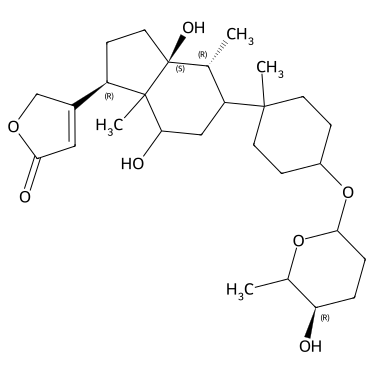 CC1OC(OC2CCC(C)(C3CC(O)C4(C)[C@@H](C5=CC(=O)OC5)CC[C@]4(O)[C@@H]3C)CC2)CC[C@H]1O